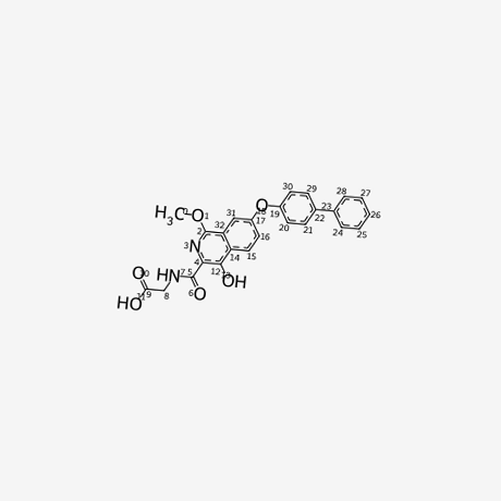 COc1nc(C(=O)NCC(=O)O)c(O)c2ccc(Oc3ccc(-c4ccccc4)cc3)cc12